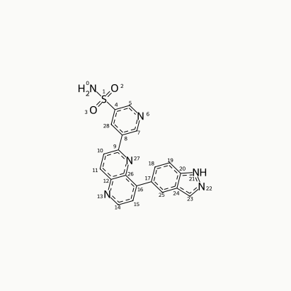 NS(=O)(=O)c1cncc(-c2ccc3nccc(-c4ccc5[nH]ncc5c4)c3n2)c1